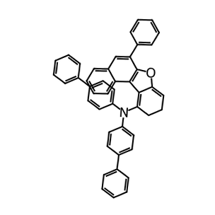 C1=c2oc3c(-c4ccccc4)cc4ccccc4c3c2=C(N(c2ccc(-c3ccccc3)cc2)c2ccc(-c3ccccc3)cc2)CC1